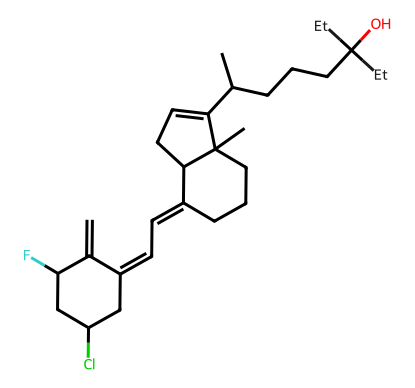 C=C1/C(=C\C=C2/CCCC3(C)C(C(C)CCCC(O)(CC)CC)=CCC23)CC(Cl)CC1F